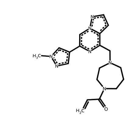 C=CC(=O)N1CCCN(Cc2nc(-c3cnn(C)c3)cn3nccc23)CC1